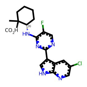 CC1(C(=O)O)CCCC[C@@H]1Nc1nc(-c2c[nH]c3ncc(Cl)cc23)ncc1F